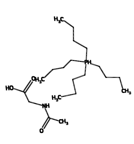 CC(=O)NCC(=O)O.CCCC[PH](CCCC)(CCCC)CCCC